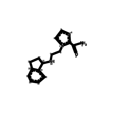 NC(=O)c1n[c]cn1CCNC1CCc2ccccc21